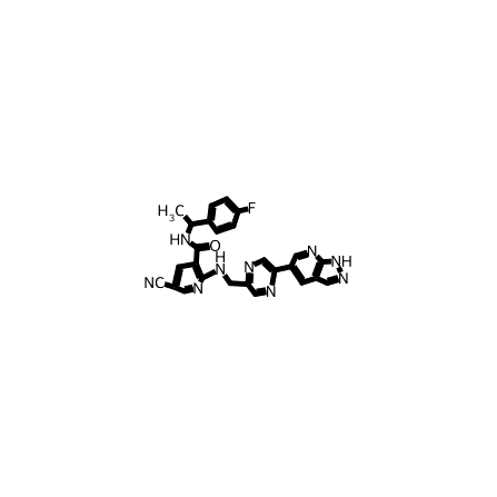 CC(NC(=O)c1cc(C#N)cnc1NCc1cnc(-c2cnc3[nH]ncc3c2)cn1)c1ccc(F)cc1